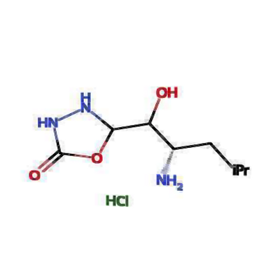 CC(C)C[C@H](N)C(O)C1NNC(=O)O1.Cl